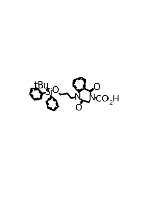 CC(C)(C)[Si](OCCCN1C(=O)CN(C(=O)O)C(=O)c2ccccc21)(c1ccccc1)c1ccccc1